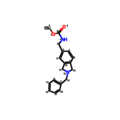 CC(C)(C)OC(=O)NCc1ccc2c(c1)CN(Cc1ccccc1)C2